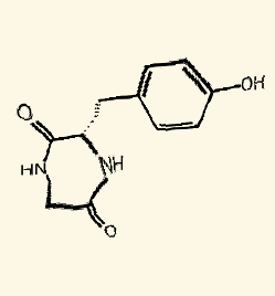 O=C1CNC(=O)[C@H](Cc2ccc(O)cc2)N1